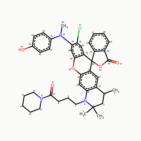 CC1CC(C)(C)N(CCCC(=O)N2CCCCC2)c2cc3c(cc21)C1(OC(=O)c2ccccc21)c1cc(Cl)c(N(C)c2ccc(O)cc2)cc1O3